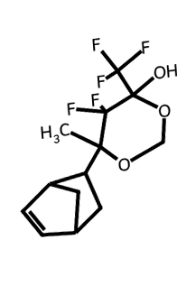 CC1(C2CC3C=CC2C3)OCOC(O)(C(F)(F)F)C1(F)F